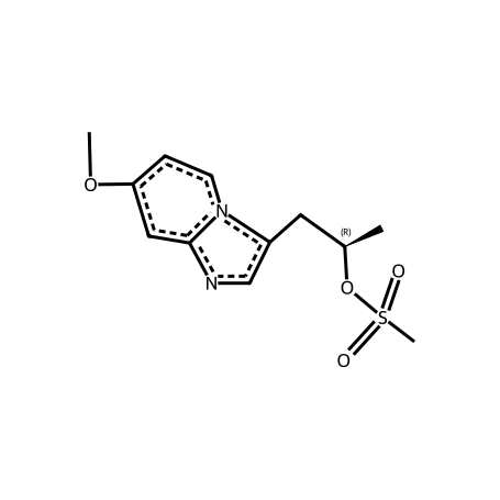 COc1ccn2c(C[C@@H](C)OS(C)(=O)=O)cnc2c1